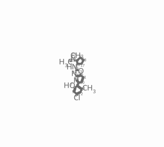 Cc1cc(Cl)cc(O)c1-c1ccc2oc(N[C@@H]3CCC[C@H]3N(C)C)nc2n1